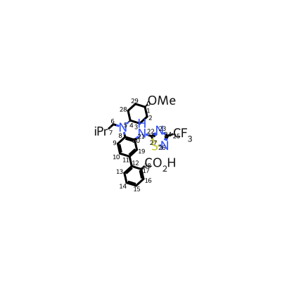 CO[C@H]1CC[C@@H](N(CC(C)C)c2ccc(-c3ccccc3C(=O)O)cc2Nc2nc(C(F)(F)F)ns2)CC1